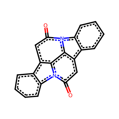 O=c1cc2c3ccccc3n3c(=O)cc4c5ccccc5n1c4c23